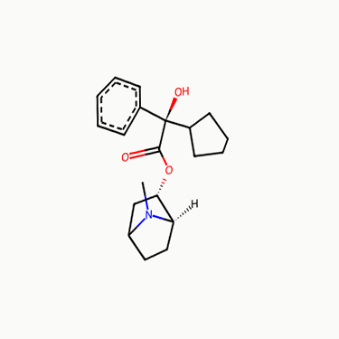 CN1C2CC[C@@H]1[C@@H](OC(=O)[C@](O)(c1ccccc1)C1CCCC1)C2